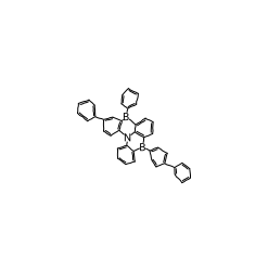 c1ccc(B2c3cc(-c4ccccc4)ccc3N3c4ccccc4B(c4ccc(-c5ccccc5)cc4)c4cccc2c43)cc1